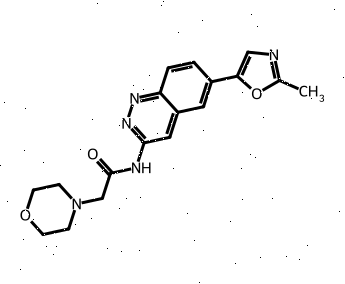 Cc1ncc(-c2ccc3nnc(NC(=O)CN4CCOCC4)cc3c2)o1